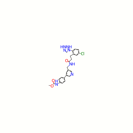 COC(=O)Nc1ccc(-c2cncc(CNC(=O)CCc3cc(Cl)ccc3N3C=NNN3)c2)cc1